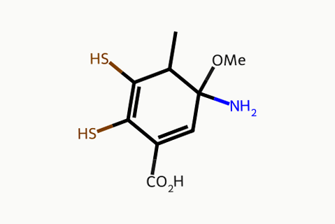 COC1(N)C=C(C(=O)O)C(S)=C(S)C1C